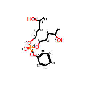 CC(O)CCCOP(=O)(OCCCC(C)O)Oc1ccccc1